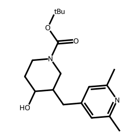 Cc1cc(CC2CN(C(=O)OC(C)(C)C)CCC2O)cc(C)n1